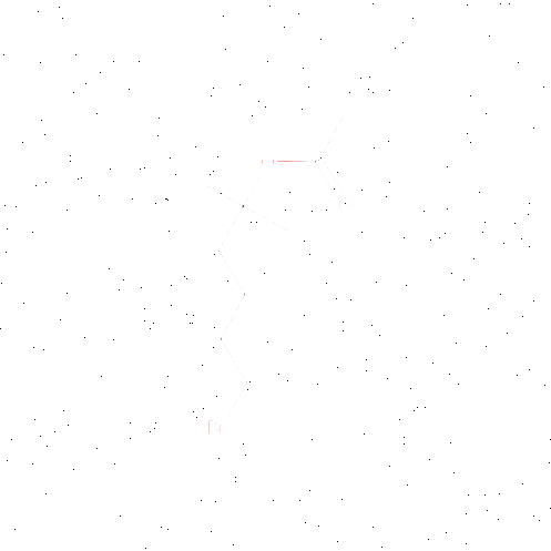 CC(=O)OC(C)(C)CCCCBr